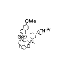 COc1ccc2cc(S(=O)(=O)N3CCn4cccc4C3CC(=O)N(C)C3CCCC(N4CCN(C(C)C)CC4)C3)ccc2c1